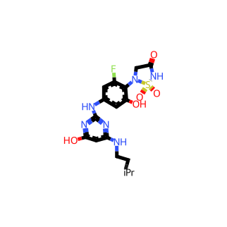 CC(C)CCNc1cc(O)nc(Nc2cc(O)c(N3CC(=O)NS3(=O)=O)c(F)c2)n1